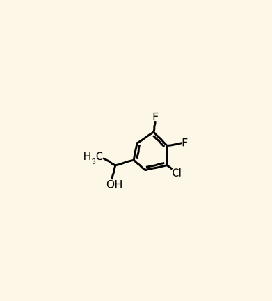 CC(O)c1cc(F)c(F)c(Cl)c1